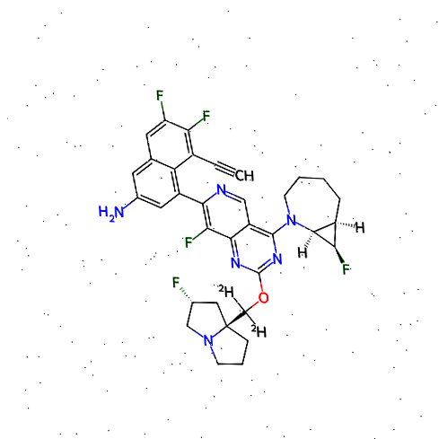 [2H]C([2H])(Oc1nc(N2CCCC[C@H]3[C@@H](F)[C@H]32)c2cnc(-c3cc(N)cc4cc(F)c(F)c(C#C)c34)c(F)c2n1)[C@@]12CCCN1C[C@H](F)C2